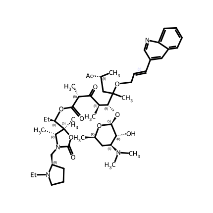 CC[C@@H](OC(=O)[C@H](C)C(=O)[C@H](C)[C@@H](O[C@@H]1O[C@H](C)C[C@H](N(C)C)[C@H]1O)C(C)(C[C@@H](C)C(C)=O)OC/C=C/c1cnc2ccccc2c1)[C@@]1(C)OC(=O)N(C[C@H]2CCCN2CC)[C@@H]1C